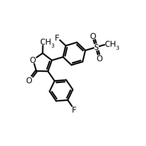 CC1OC(=O)C(c2ccc(F)cc2)=C1c1ccc(S(C)(=O)=O)cc1F